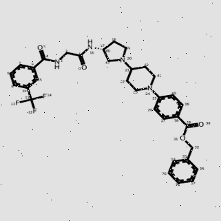 O=C(CNC(=O)c1cccc(C(F)(F)F)c1)N[C@@H]1CCN(C2CCN(c3ccc(C(=O)OCc4ccccc4)cc3)CC2)C1